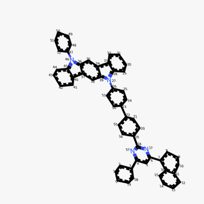 c1ccc(-c2cc(-c3cccc4ccccc34)nc(-c3ccc(-c4ccc(-n5c6ccccc6c6cc7c(cc65)c5ccccc5n7-c5ccccc5)cc4)cc3)n2)cc1